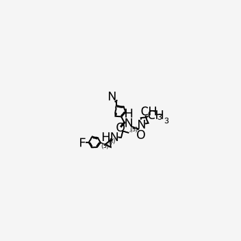 CC1(C)CN(C(=O)[C@H](CCCN[C@@H]2C[C@H]2c2ccc(F)cc2)NC(=O)c2ccc(C#N)cc2)C1